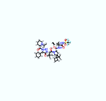 C=C[C@@H]1C[C@]1(NC(=O)[C@@H]1C[C@@]2(CN1C(=O)[C@@H](NC(=O)[C@@H](NC(=O)[C@@H]1CCCCN1C(C)C)C1CCCCC1)C(C)(C)C)C(C)(C)C21CCC1)C(=O)NS(=O)(=O)C(F)(F)F